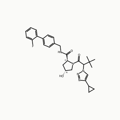 CC(C)(C)C(C(=O)N1C[C@H](O)C[C@H]1C(=O)NCc1ccc(-c2ccccc2F)cc1)n1cc(C2CC2)nn1